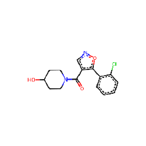 O=C(c1cnoc1-c1ccccc1Cl)N1CCC(O)CC1